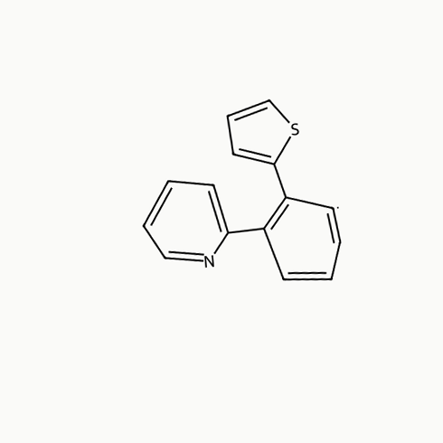 [c]1cccc(-c2ccccn2)c1-c1cccs1